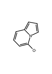 [O]c1cccc2cccn12